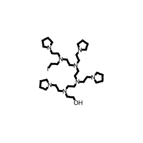 OCCN(CCN1CCCC1)CCN(CCN1CCCC1)CCN(CCN1CCCC1)CCN(CCI)CCN1CCCC1